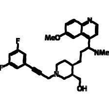 CNC(CC[C@@H]1CCN(CC#Cc2cc(F)cc(F)c2)C[C@@H]1CO)c1ccnc2ccc(OC)cc12